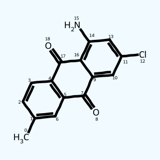 Cc1ccc2c(c1)C(=O)c1cc(Cl)cc(N)c1C2=O